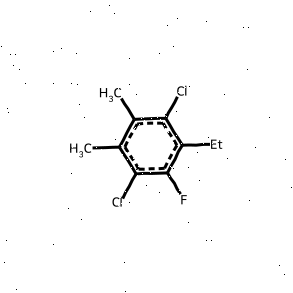 CCc1c(F)c(Cl)c(C)c(C)c1Cl